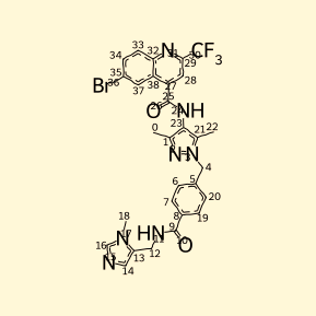 Cc1nn(Cc2ccc(C(=O)NCc3cncn3C)cc2)c(C)c1NC(=O)c1cc(C(F)(F)F)nc2ccc(Br)cc12